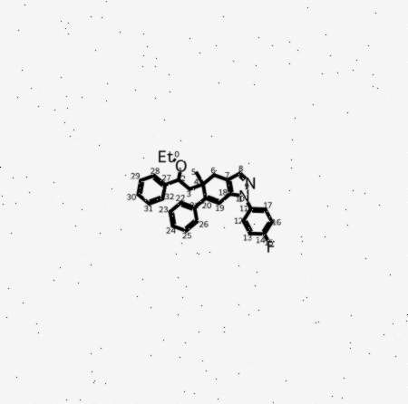 CCOC(CC1(C)Cc2cnn(-c3ccc(F)cc3)c2C=C1c1ccccc1)c1ccccc1